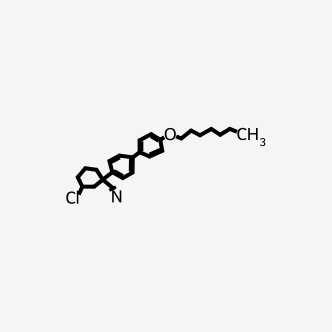 CCCCCCCOc1ccc(-c2ccc(C3(C#N)CCCC(Cl)C3)cc2)cc1